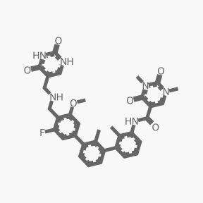 COc1cc(-c2cccc(-c3cccc(NC(=O)c4cn(C)c(=O)n(C)c4=O)c3C)c2C)cc(F)c1CNCc1c[nH]c(=O)[nH]c1=O